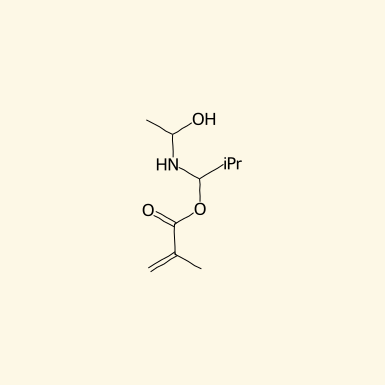 C=C(C)C(=O)OC(NC(C)O)C(C)C